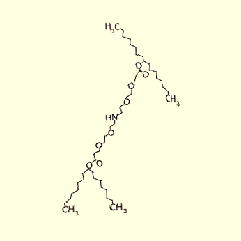 CCCCCCCCC(CCCCCCCC)OC(=O)CCOCCOCCNCCOCCOCCC(=O)OC(CCCCCCCC)CCCCCCCC